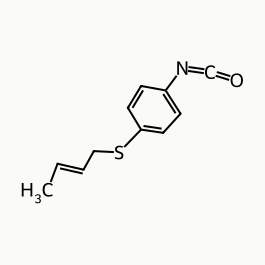 C/C=C/CSc1ccc(N=C=O)cc1